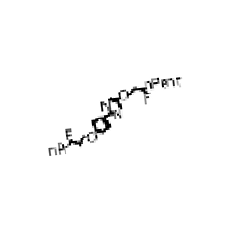 CCCCCC(F)CCOc1cnc(-c2ccc(OCCC(F)CCC)cc2)nc1